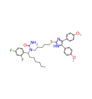 CCCCCCC(c1ccc(F)cc1F)N(CCCCCSc1nc(-c2ccc(OC)cc2)c(-c2ccc(OC)cc2)[nH]1)C(N)=O